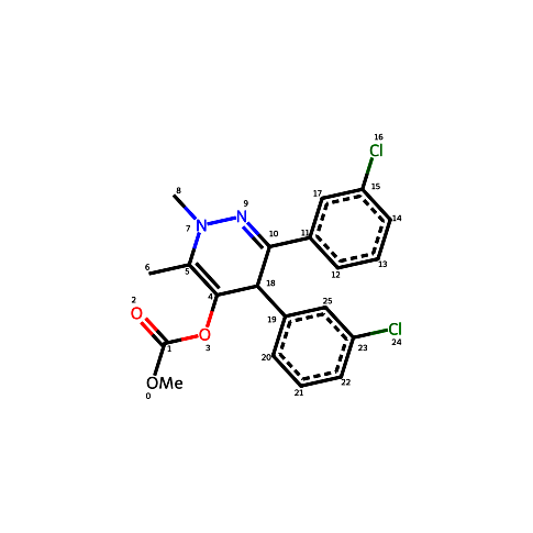 COC(=O)OC1=C(C)N(C)N=C(c2cccc(Cl)c2)C1c1cccc(Cl)c1